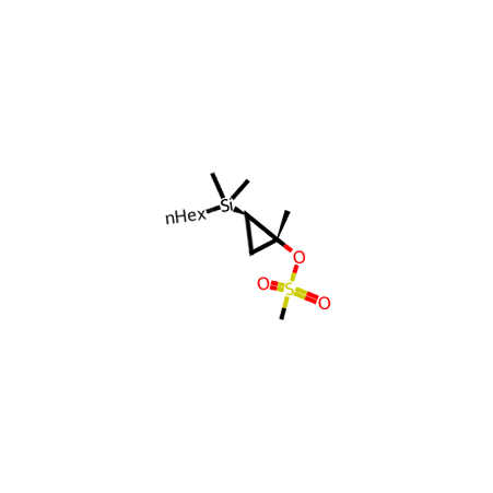 CCCCCC[Si](C)(C)[C@@H]1C[C@@]1(C)OS(C)(=O)=O